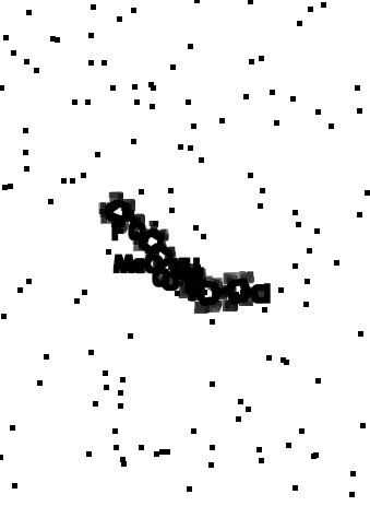 COC(=O)C(Cc1ccc(OCc2ccccc2F)cc1)NC(=O)c1cn2ccc(-c3ccc(Cl)cc3)cc2n1